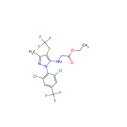 CCOC(=O)CNc1c(SC(F)(F)F)c(C)nn1-c1c(Cl)cc(C(F)(F)F)cc1Cl